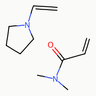 C=CC(=O)N(C)C.C=CN1CCCC1